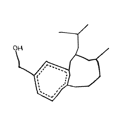 CC(C)C1c2cc(CO)ccc2CCC1C